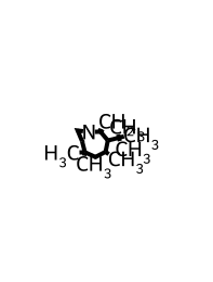 C=C1C(C(C)(C)C)C(C)CC(C)(C)C2CN12